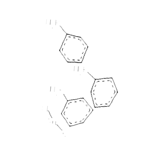 Pc1ccccc1.Pc1ccccc1.Pc1ccccc1.[Cl][Ru][Cl]